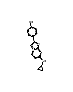 Oc1ccc(-c2cn3ccc(NC4CC4)nc3n2)cc1